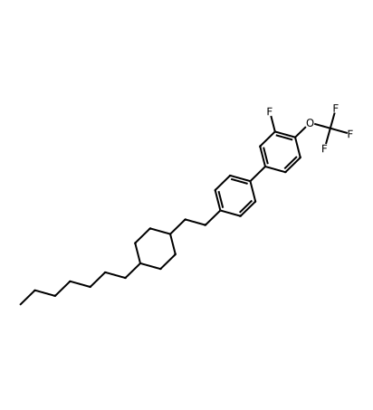 CCCCCCCC1CCC(CCc2ccc(-c3ccc(OC(F)(F)F)c(F)c3)cc2)CC1